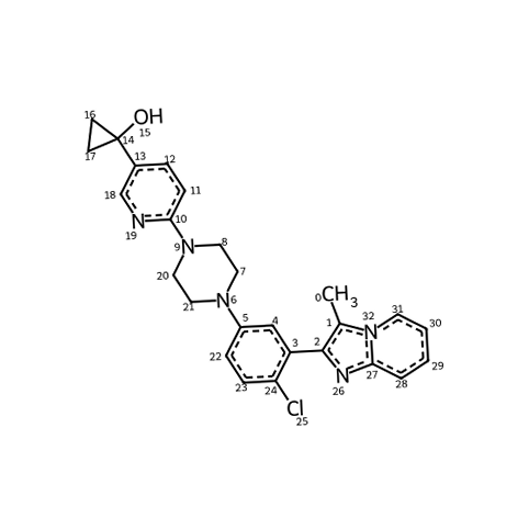 Cc1c(-c2cc(N3CCN(c4ccc(C5(O)CC5)cn4)CC3)ccc2Cl)nc2ccccn12